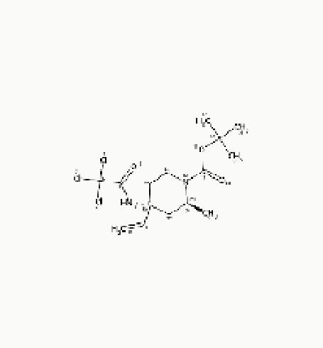 C=C[C@@]1(NC(=O)C(Cl)(Cl)Cl)CCN(C(=O)OC(C)(C)C)[C@@H](C)C1